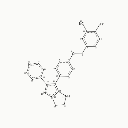 CC(C)c1ccc(COc2ccc(-c3c(-c4ccncc4)nn4c3NCC4)cc2)cc1C#N